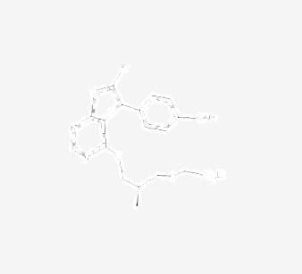 CCOC(=O)COC[C@@H](C)COc1ncnc2oc(Br)c(-c3ccc(OC)cc3)c12